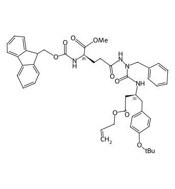 C=CCOC(=O)C[C@H](Cc1ccc(OC(C)(C)C)cc1)NC(=O)N(Cc1ccccc1)NC(=O)CC[C@@H](NC(=O)OCC1c2ccccc2-c2ccccc21)C(=O)OC